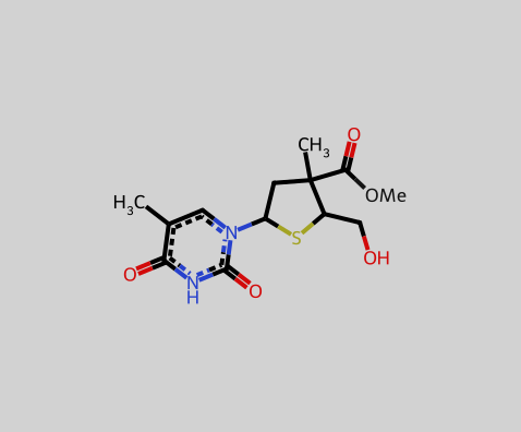 COC(=O)C1(C)CC(n2cc(C)c(=O)[nH]c2=O)SC1CO